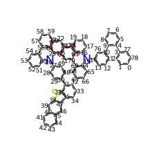 c1ccc(-c2ccccc2-c2cccc(N(c3cccc(-c4cccc(N(c5ccc(-c6cccc7c6sc6cc8ccccc8cc67)cc5)c5ccccc5-c5ccccc5)c4)c3)c3ccccc3-c3ccccc3)c2)cc1